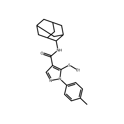 CCSc1c(C(=O)NC2C3CC4CC(C3)CC2C4)cnn1-c1ccc(C)cc1